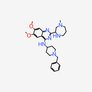 COc1cc2nc(C3CN(C)CCCN3)nc(NC3CCN(Cc4ccccc4)CC3)c2cc1OC